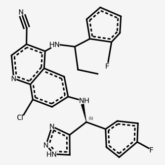 CCC(Nc1c(C#N)cnc2c(Cl)cc(N[C@@H](c3ccc(F)cc3)c3c[nH]nn3)cc12)c1ccccc1F